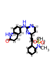 CN(c1ccccc1C#Cc1ccnc(Nc2ccc3c(c2)CCC(=O)N3)n1)S(C)(=O)=O